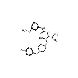 COc1cccc(NC(=O)NC(C(C)C)C(O)CN2CCC(Cc3ccc(F)cc3)CC2)c1